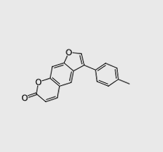 Cc1ccc(-c2coc3cc4oc(=O)ccc4cc23)cc1